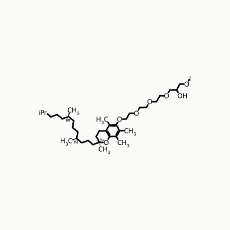 Cc1c(C)c2c(c(C)c1OCCOCCOCCOCC(O)COI)CC[C@](C)(CCC[C@@H](C)CCC[C@H](C)CCCC(C)C)O2